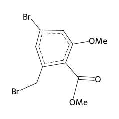 COC(=O)c1c(CBr)cc(Br)cc1OC